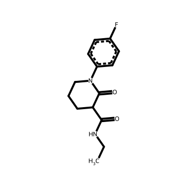 CCNC(=O)C1CCCN(c2ccc(F)cc2)C1=O